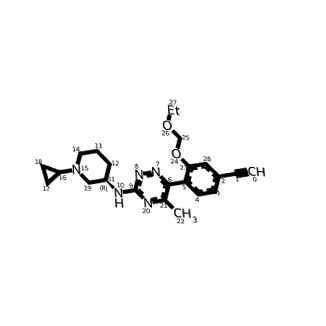 C#Cc1ccc(-c2nnc(N[C@@H]3CCCN(C4CC4)C3)nc2C)c(OCOCC)c1